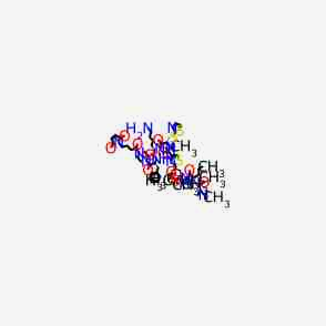 CC[C@H](C)[C@H](NC(=O)[C@H]1CN1C)C(=O)N(C)[C@H](C[C@@H](OC(C)=O)c1nc(C(=O)N(C)[C@@H](CSc2nccs2)C(=O)N[C@H](CCCCN)C(=O)N[C@@H](Cc2ccccc2)C(=O)N2CCN(C(=O)CCCN3C(=O)C=CC3=O)CC2)cs1)C(C)C